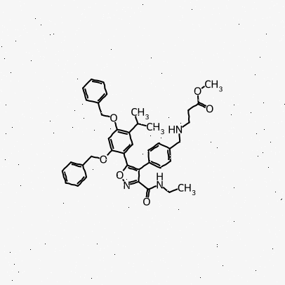 CCNC(=O)c1noc(-c2cc(C(C)C)c(OCc3ccccc3)cc2OCc2ccccc2)c1-c1ccc(CNCCC(=O)OC)cc1